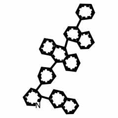 c1ccc(-c2ccc(-c3c4ccccc4c(-c4ccc(-c5cccnc5-c5ccc6ccccc6c5)cc4)c4ccccc34)c3ccccc23)cc1